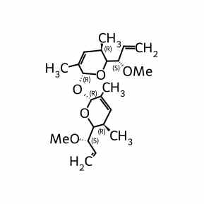 C=C[C@H](OC)C1O[C@H](O[C@H]2OC([C@H](C=C)OC)[C@H](C)C=C2C)C(C)=C[C@H]1C